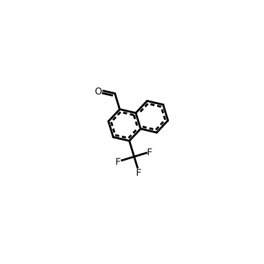 O=Cc1ccc(C(F)(F)F)c2ccccc12